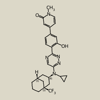 Cn1ccc(-c2ccc(-c3ncc(N(C4CC4)[C@@H]4C[C@H]5CCC[C@](C(F)(F)F)(C5)C4)nn3)c(O)c2)cc1=O